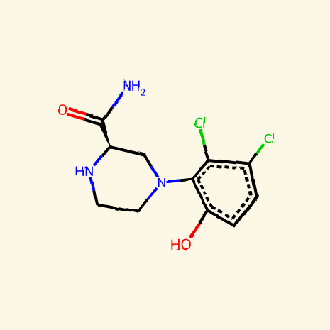 NC(=O)[C@H]1CN(c2c(O)ccc(Cl)c2Cl)CCN1